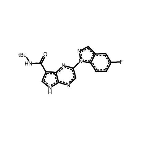 CC(C)(C)NC(=O)c1c[nH]c2ncc(-n3ncc4cc(F)ccc43)nc12